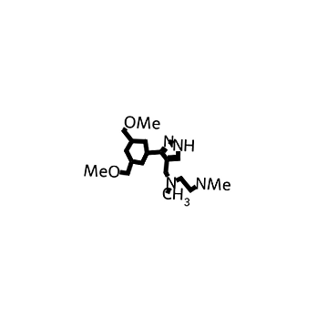 CNCCN(C)Cc1c[nH]nc1C1CC(COC)CC(COC)C1